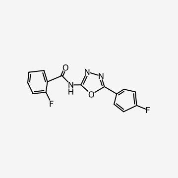 O=C(Nc1nnc(-c2ccc(F)cc2)o1)c1ccccc1F